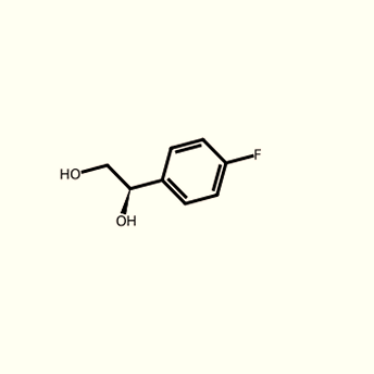 OC[C@H](O)c1ccc(F)cc1